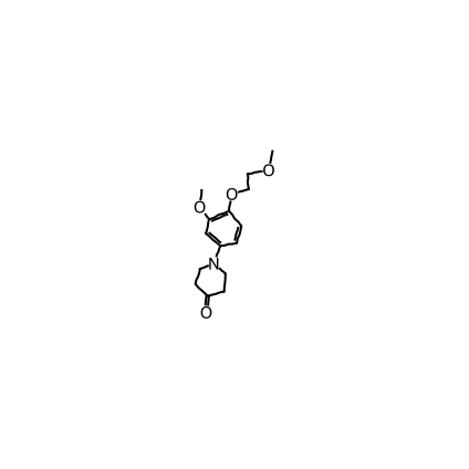 COCCOc1ccc(N2CCC(=O)CC2)cc1OC